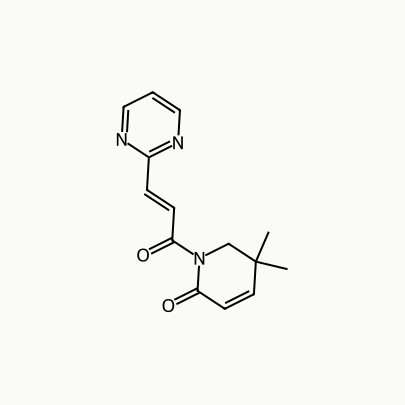 CC1(C)C=CC(=O)N(C(=O)/C=C/c2ncccn2)C1